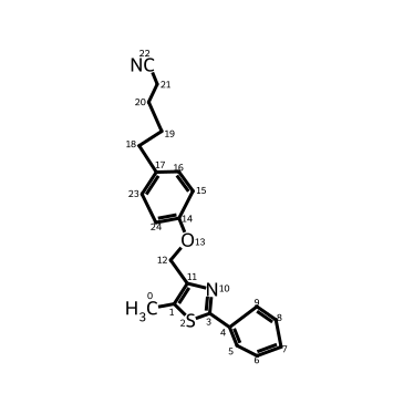 Cc1sc(-c2ccccc2)nc1COc1ccc(CCCCC#N)cc1